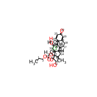 CCCOC(=O)O[C@]1(C(=O)CO)[C@H](C)C[C@H]2[C@@H]3CCC4=CC(=O)C=C[C@]4(C)[C@@]3(Cl)C(O)C[C@@]21C